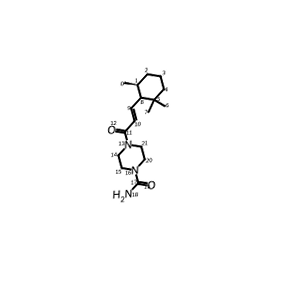 C[C@H]1CCCC(C)(C)C1/C=C/C(=O)N1CCN(C(N)=O)CC1